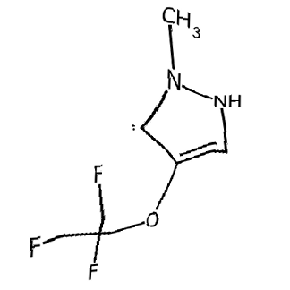 CN1[C]C(OC(F)(F)F)=CN1